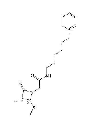 CS[C@@H]1[C@H](C)C(=O)N1CC(=O)NCCCCCCc1ccccc1